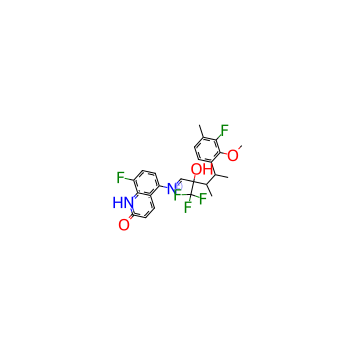 COc1c(C(C)C(C)C(O)(/C=N/c2ccc(F)c3[nH]c(=O)ccc23)C(F)(F)F)ccc(C)c1F